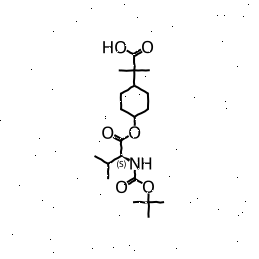 CC(C)[C@H](NC(=O)OC(C)(C)C)C(=O)OC1CCC(C(C)(C)C(=O)O)CC1